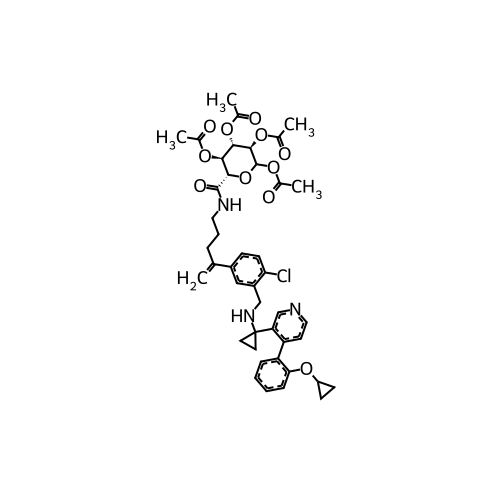 C=C(CCCNC(=O)[C@H]1OC(OC(C)=O)[C@H](OC(C)=O)[C@@H](OC(C)=O)[C@@H]1OC(C)=O)c1ccc(Cl)c(CNC2(c3cnccc3-c3ccccc3OC3CC3)CC2)c1